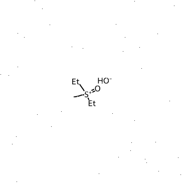 CC[S+](C)(=O)CC.[OH-]